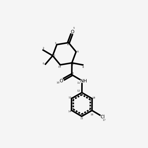 CC1(C)CC(=O)CC(C)(C(=O)Nc2cccc(Cl)c2)C1